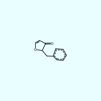 O=C1C=COC1Cc1ccccc1